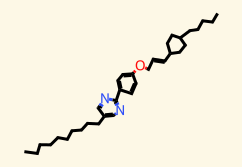 CCCCCCCCCCc1cnc(-c2ccc(OC/C=C/C3CCC(CCCCC)CC3)cc2)nc1